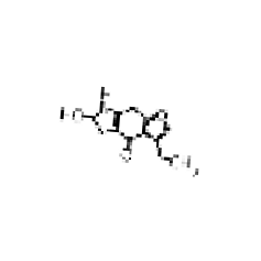 CCc1coc2c1C(=O)C1=C(C2)NC(O)C1